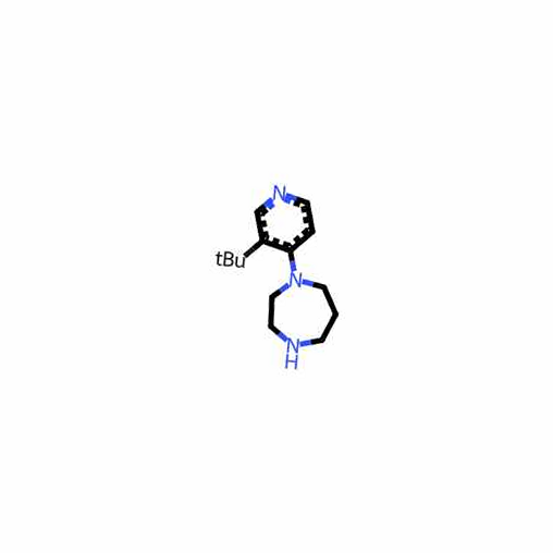 CC(C)(C)c1cnccc1N1CCCNCC1